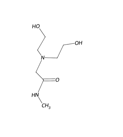 CNC(=O)CN(CCO)CCO